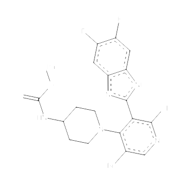 CC(C)(C)OC(=O)NC1CCN(c2c(Br)cnc(Cl)c2-c2nc3cc(F)c(F)cc3[nH]2)CC1